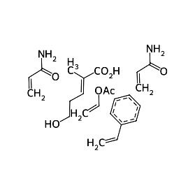 C=CC(N)=O.C=CC(N)=O.C=COC(C)=O.C=Cc1ccccc1.CC(=CCCO)C(=O)O